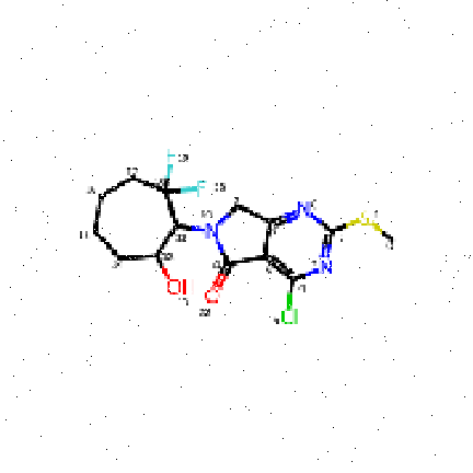 CSc1nc(Cl)c2c(n1)CN(C1C(O)CCCCC1(F)F)C2=O